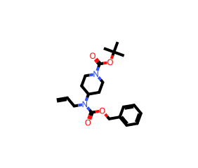 C=CCN(C(=O)OCc1ccccc1)C1CCN(C(=O)OC(C)(C)C)CC1